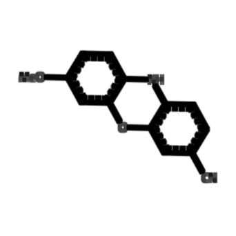 COc1ccc2c(c1)Oc1cc(C#N)ccc1N2